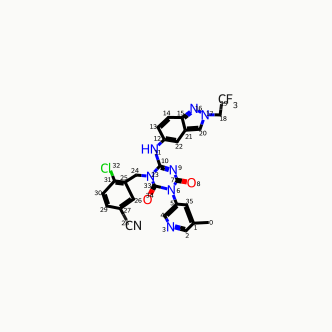 Cc1cncc(-n2c(=O)nc(Nc3ccc4nn(CC(F)(F)F)cc4c3)n(Cc3cc(C#N)ccc3Cl)c2=O)c1